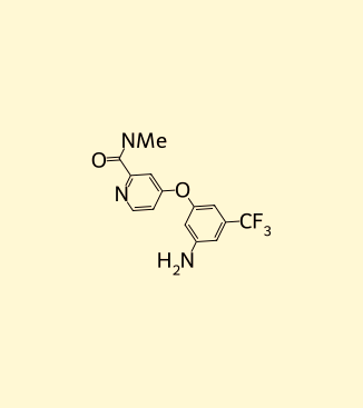 CNC(=O)c1cc(Oc2cc(N)cc(C(F)(F)F)c2)ccn1